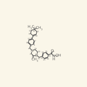 C[C@H]1CN(Cc2ccc(C3=CCC(C)(C)CC3)cc2)CCN1Cc1ccc(C(=O)NO)cc1